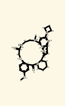 COc1ccc2c(c1)C(=O)N1CCCCC1c1cc3nc(N4CCC4)cc(n3n1)N(C)CCNC(=O)CO2